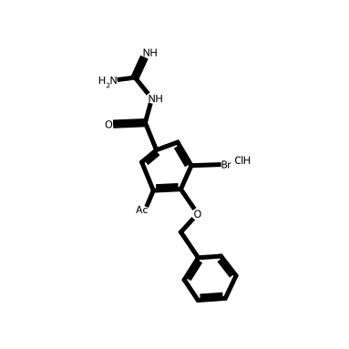 CC(=O)c1cc(C(=O)NC(=N)N)cc(Br)c1OCc1ccccc1.Cl